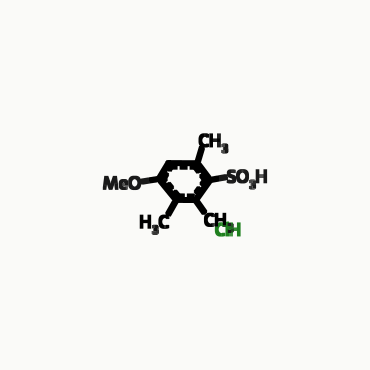 COc1cc(C)c(S(=O)(=O)O)c(C)c1C.Cl